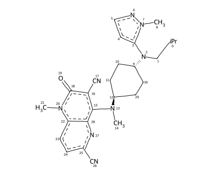 CC(C)CN(c1ccnn1C)[C@H]1CC[C@H](N(C)c2c(C#N)c(=O)n(C)c3ccc(C#N)nc23)CC1